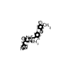 Cc1cc(Oc2ccc(CSc3nc(=O)c(Cc4cncnc4)cn3C)cc2)ccc1Cl